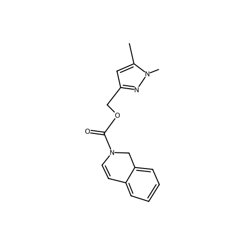 Cc1cc(COC(=O)N2C=Cc3ccccc3C2)nn1C